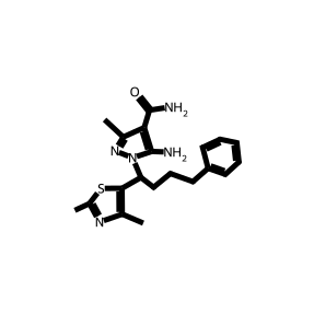 Cc1nc(C)c(C(CCCc2ccccc2)n2nc(C)c(C(N)=O)c2N)s1